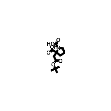 CC(C)(C)OC(=O)CC1(C(=O)O)CCCN1C(=O)O